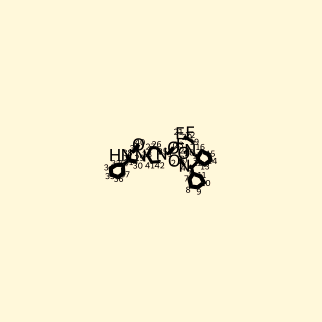 O=C(O[C@H]1N=C(c2ccccc2)c2ccccc2N(CC(F)(F)F)O1)N1CCC(n2cc(-c3ccccc3)[nH]c2=O)CC1